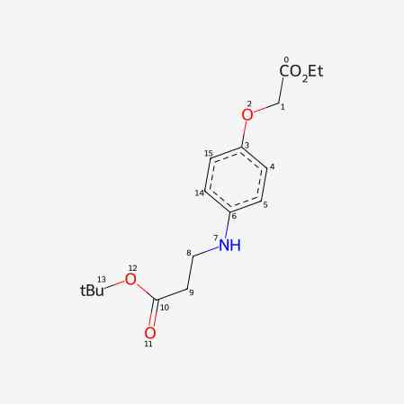 CCOC(=O)COc1ccc(NCCC(=O)OC(C)(C)C)cc1